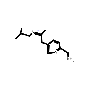 C/C(Cc1ccc(CN)nc1)=N/CC(C)C